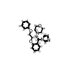 c1ccc(OCCOc2ccccc2C(=NN2CCOCC2)n2ccnc2)cc1